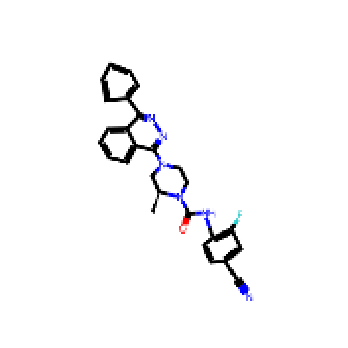 C[C@H]1CN(c2nnc(-c3ccccc3)c3ccccc23)CCN1C(=O)Nc1ccc(C#N)cc1F